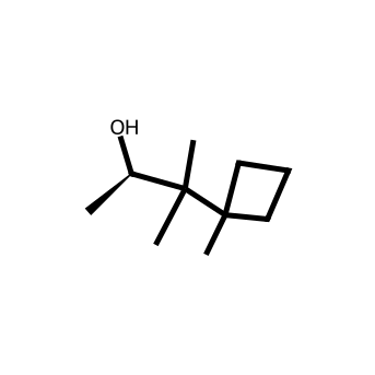 C[C@@H](O)C(C)(C)C1(C)CCC1